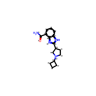 NC(=O)c1cccc2[nH]c(C3CCN(C4CCC4)C3)nc12